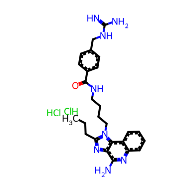 CCCc1nc2c(N)nc3ccccc3c2n1CCCCNC(=O)c1ccc(CNC(=N)N)cc1.Cl.Cl